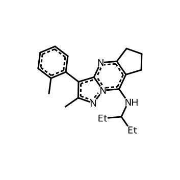 CCC(CC)Nc1c2c(nc3c(-c4ccccc4C)c(C)nn13)CCC2